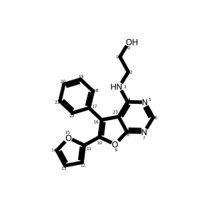 OCCNc1ncnc2oc(-c3ccco3)c(-c3ccccc3)c12